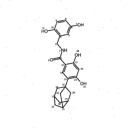 O=C(NCc1cc(O)ccc1O)c1cc(C23CC4CC(C2)C(C4)C3)c(O)cc1O